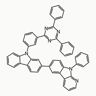 c1ccc(-c2nc(-c3ccccc3)nc(-c3cccc(-n4c5ccccc5c5ccc(-c6ccc7c(c6)c6cccnc6n7-c6ccccc6)cc54)c3)n2)cc1